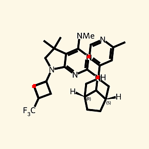 CNc1nc(NC2[C@@H]3CC[C@H]2CN(c2cc(C)ncn2)C3)nc2c1C(C)(C)CN2C12CC(C(F)(F)F)(C1)C2